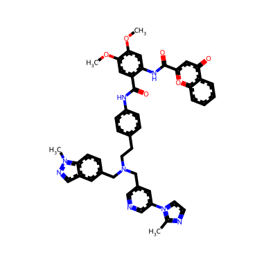 COc1cc(NC(=O)c2cc(=O)c3ccccc3o2)c(C(=O)Nc2ccc(CCN(Cc3cncc(-n4ccnc4C)c3)Cc3ccc4c(cnn4C)c3)cc2)cc1OC